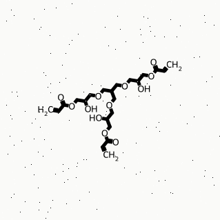 C=CC(=O)OCC(O)COCC(COCC(O)COC(=O)C=C)COCC(O)COC(=O)C=C